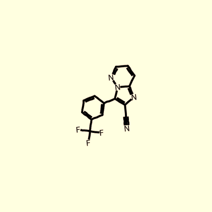 N#Cc1nc2cccnn2c1-c1cccc(C(F)(F)F)c1